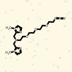 Cn1ccnc1CN(CCOCCOCCOCCN=[N+]=[N-])Cc1nccn1C